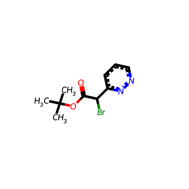 CC(C)(C)OC(=O)C(Br)c1cccnn1